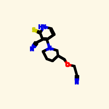 N#CCOCC1CCCN(c2cc[nH]c(=S)c2C#N)C1